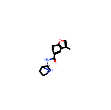 Cc1coc2ccc(C(=O)N[C@@H]3CC4CCC3N4)cc12